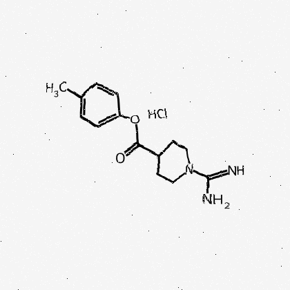 Cc1ccc(OC(=O)C2CCN(C(=N)N)CC2)cc1.Cl